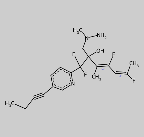 CCC#Cc1ccc(C(F)(F)C(O)(CN(C)N)/C(C)=C(F)/C=C(\C)F)nc1